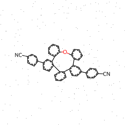 N#Cc1ccc(-c2ccc3c(c2)-c2ccccc2Oc2ccccc2-c2cc(-c4ccc(C#N)cc4)ccc2-c2ccccc2-3)cc1